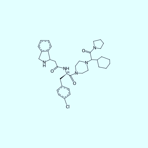 O=C(CC1NCc2ccccc21)N[C@H](Cc1ccc(Cl)cc1)C(=O)N1CCN(C(C(=O)N2CCCC2)C2CCCCC2)CC1